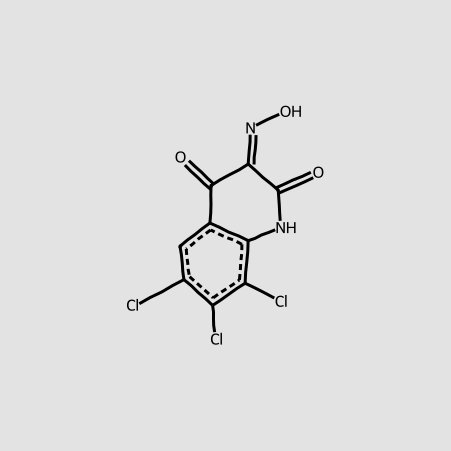 O=C1Nc2c(cc(Cl)c(Cl)c2Cl)C(=O)/C1=N/O